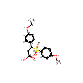 CCOc1ccc(C(CC(=O)O)S(=O)(=O)c2ccc(OC)cc2)cc1